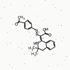 CC(=O)c1ccc(/N=N/C(C(=O)O)=C2\NC(C)(C)Cc3ccccc32)cc1